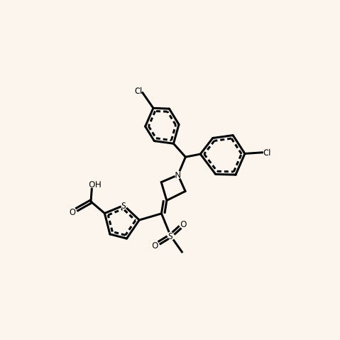 CS(=O)(=O)C(=C1CN(C(c2ccc(Cl)cc2)c2ccc(Cl)cc2)C1)c1ccc(C(=O)O)s1